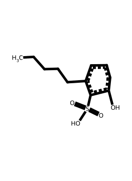 CCCCCc1cccc(O)c1S(=O)(=O)O